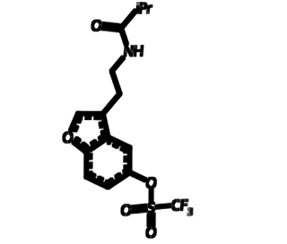 CC(C)C(=O)NCCc1coc2ccc(OS(=O)(=O)C(F)(F)F)cc12